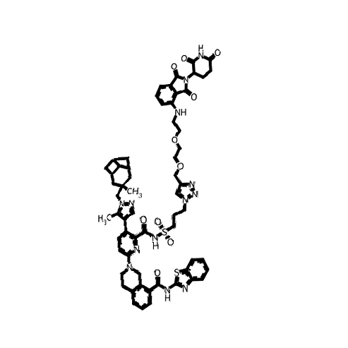 Cc1c(-c2ccc(N3CCc4cccc(C(=O)Nc5nc6ccccc6s5)c4C3)nc2C(=O)NS(=O)(=O)CCCn2cc(COCCOCCNc3cccc4c3C(=O)N(C3CCC(=O)NC3=O)C4=O)nn2)cnn1CC1(C)CC2CC3CC(C1)C32